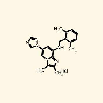 Cc1cccc(C)c1CNc1cc(-n2cncn2)cn2c(C)c(C)nc12.Cl